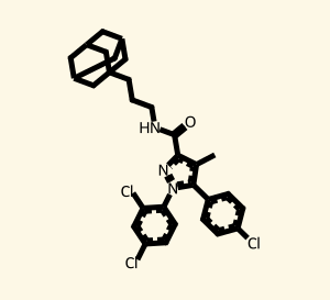 Cc1c(C(=O)NCCCC23CC4CC(CC(C4)C2)C3)nn(-c2ccc(Cl)cc2Cl)c1-c1ccc(Cl)cc1